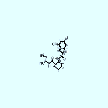 CC(C)C[C@@H](C#N)NC(=O)[C@@H]1CCCC[C@@H]1NC(=O)c1cc2c(Cl)cc(Cl)cc2[nH]1